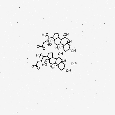 C[C@H](CCC(=O)[O-])[C@H]1CCC2C3C(C[C@H](O)[C@@]21C)[C@@]1(C)CC[C@@H](O)C[C@H]1C[C@H]3O.C[C@H](CCC(=O)[O-])[C@H]1CCC2C3C(C[C@H](O)[C@@]21C)[C@@]1(C)CC[C@@H](O)C[C@H]1C[C@H]3O.[Zn+2]